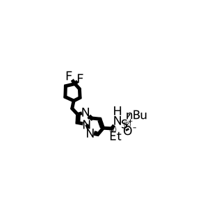 CCCC[S@+]([O-])N[C@H](CC)c1cnn2cc(CC3CCC(F)(F)CC3)nc2c1